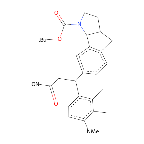 CNc1ccc(C(CC(=O)N=O)c2ccc3c(c2)C2C(CCN2C(=O)OC(C)(C)C)C3)c(C)c1C